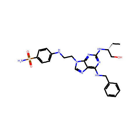 CC[C@H](CO)Nc1nc(NCc2ccccc2)c2ncn(CCNc3ccc(S(N)(=O)=O)cc3)c2n1